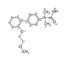 COCCOc1ccccc1-c1ccc(C(C)(C)C(=O)O)cc1